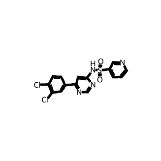 O=S(=O)(Nc1cc(-c2ccc(Cl)c(Cl)c2)ncn1)c1cccnc1